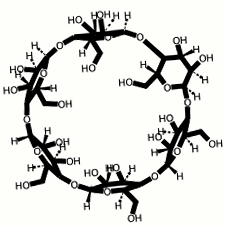 OC[C@H]1O[C@@H]2OC3[C@@H](CO)O[C@H](OC4[C@@H](CO)O[C@H](OC5[C@@H](CO)O[C@H](OC6[C@@H](CO)O[C@H](OC7[C@@H](CO)O[C@H](OC1[C@H](O)[C@H]2O)[C@H](O)[C@H]7O)[C@H](O)[C@H]6O)[C@H](O)[C@H]5O)[C@H](O)[C@H]4O)[C@H](O)[C@H]3O